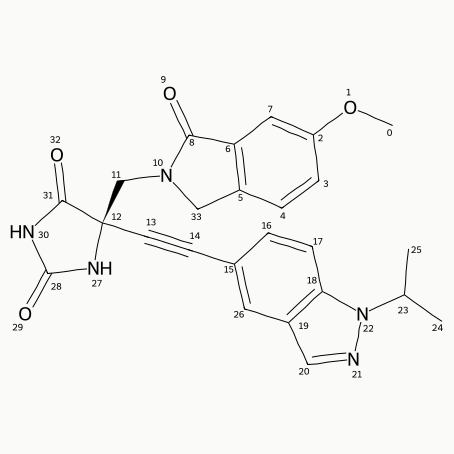 COc1ccc2c(c1)C(=O)N(C[C@@]1(C#Cc3ccc4c(cnn4C(C)C)c3)NC(=O)NC1=O)C2